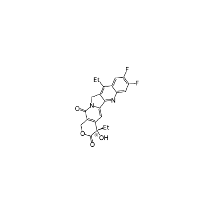 CCc1c2c(nc3cc(F)c(F)cc13)-c1cc3c(c(=O)n1C2)COC(=O)[C@]3(O)CC